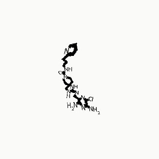 Nc1nc(N)c(C/N=C2\NCC3(CCN(C(=O)NCCCc4ccccn4)CC3)N2)nc1Cl